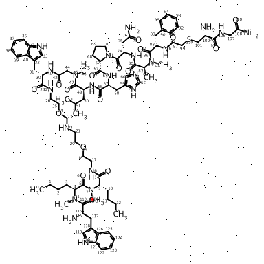 CCCC[C@@H](C(=O)N(C)[C@@H](CCCC)C(=O)NCCOCCNCOCCNC(=O)[C@H](Cc1c[nH]c2ccccc12)NC(=O)CN(C)C(=O)[C@H](CC(C)C)NC(=O)[C@H](Cc1cnc[nH]1)NC(=O)[C@@H]1CCCN1C(=O)[C@H](CC(N)=O)NC(=O)[C@H](C)N(C)C(=O)[C@H](Cc1ccccc1)NC(=O)CSC[C@H](N)C(=O)NCC(N)=O)N(C)C(=O)[C@@H](N)Cc1c[nH]c2ccccc12